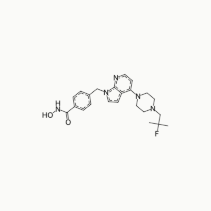 CC(C)(F)CN1CCN(c2ccnc3c2ccn3Cc2ccc(C(=O)NO)cc2)CC1